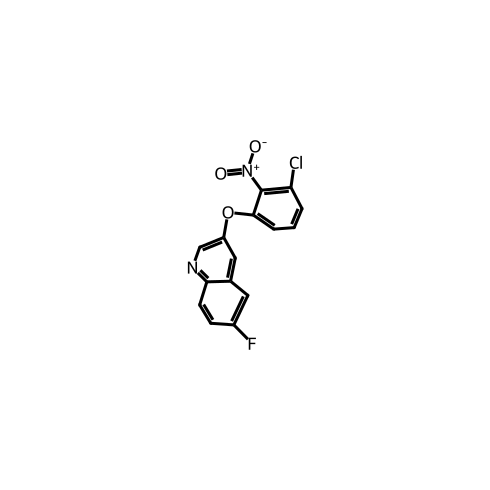 O=[N+]([O-])c1c(Cl)cccc1Oc1cnc2ccc(F)cc2c1